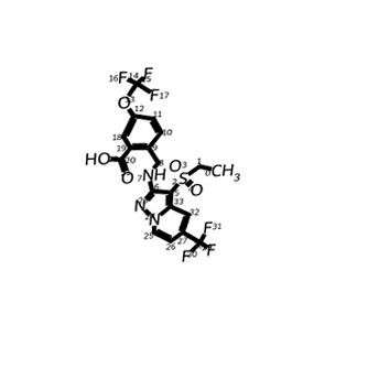 CCS(=O)(=O)c1c(NCc2ccc(OC(F)(F)F)cc2C(=O)O)nn2ccc(C(F)(F)F)cc12